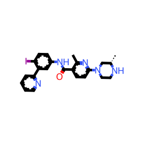 Cc1nc(N2CCN[C@@H](C)C2)ccc1C(=O)Nc1ccc(I)c(-c2ccccn2)c1